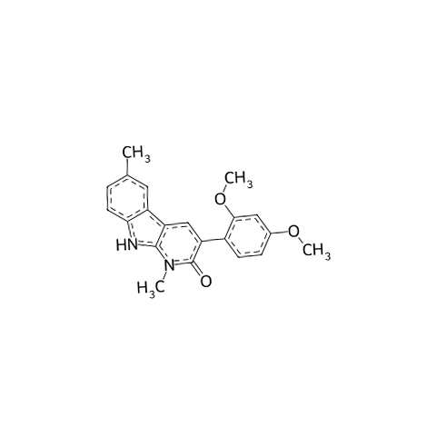 COc1ccc(-c2cc3c4cc(C)ccc4[nH]c3n(C)c2=O)c(OC)c1